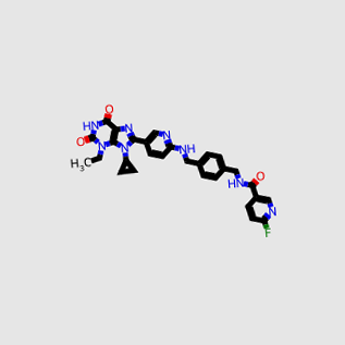 CCn1c(=O)[nH]c(=O)c2nc(-c3ccc(NCc4ccc(CNC(=O)c5ccc(F)nc5)cc4)nc3)n(C3CC3)c21